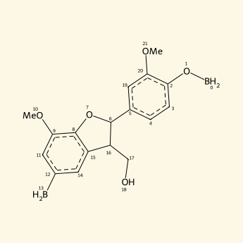 BOc1ccc(C2Oc3c(OC)cc(B)cc3C2CO)cc1OC